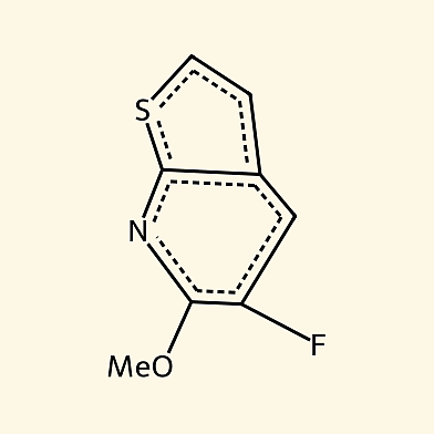 COc1nc2sccc2cc1F